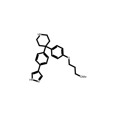 COCCCOc1ccc(C2(c3ccc(-c4cn[nH]c4)cc3)CCNCC2)cc1